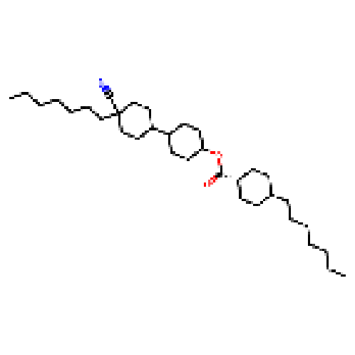 CCCCCCCC1(C#N)CCC(C2CCC(OC(=O)[C@H]3CC[C@H](CCCCCCC)CC3)CC2)CC1